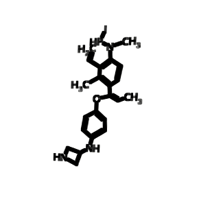 C=Cc1c(N(C)PI)ccc(/C(=C\C)Oc2ccc(NC3CNC3)cc2)c1C